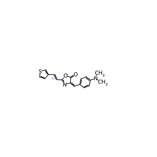 CN(C)c1ccc(C=C2N=C(/C=C/c3ccsc3)OC2=O)cc1